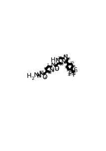 NN=NC(=O)c1ccc(NC(=O)c2cn3c(-c4ccc(C(F)(F)F)cc4)cnc3cn2)nc1